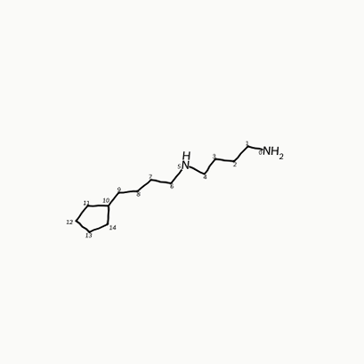 NCCCCNCCCCC1CCCC1